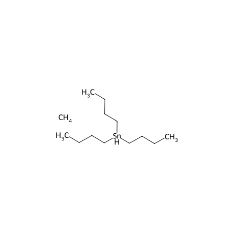 C.CCC[CH2][SnH]([CH2]CCC)[CH2]CCC